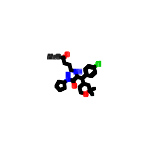 COC(=O)CCCNC(C(=O)NC1CCCC1)C(c1ccc(Cl)cc1)C1CCOC(C)(C)C1